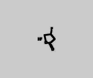 F.O=S1CC(F)CO1